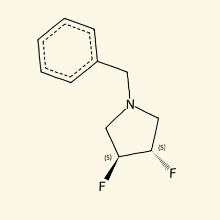 F[C@H]1CN(Cc2ccccc2)C[C@@H]1F